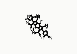 N#CC(C#N)=C1C(c2cc(F)c(C#N)cc2F)=C(C#N)c2c(F)c3c(c(F)c21)C(=C(C#N)C#N)C(c1cc(F)ncc1C#N)=C3C#N